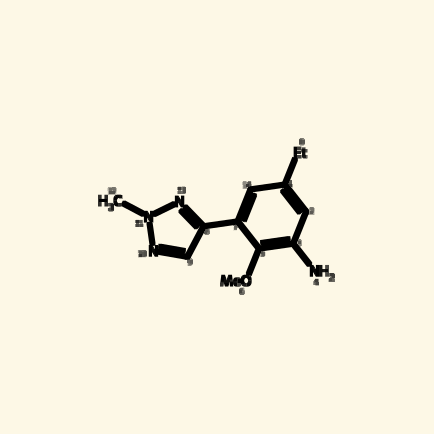 CCc1cc(N)c(OC)c(-c2cnn(C)n2)c1